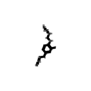 Cc1cc(CN=[N+]=[N-])ccc1OCN=[N+]=[N-]